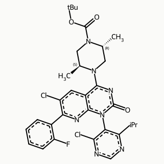 CC(C)c1ncnc(Cl)c1-n1c(=O)nc(N2C[C@@H](C)N(C(=O)OC(C)(C)C)C[C@@H]2C)c2cc(Cl)c(-c3ccccc3F)nc21